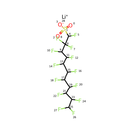 O=S(=O)([O-])C(F)C(F)(F)C(F)C(F)C(F)C(F)C(F)C(F)C(F)C(F)C(F)F.[Li+]